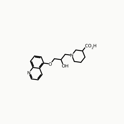 O=C(O)C1CCCN(CC(O)COc2cccc3ncccc23)C1